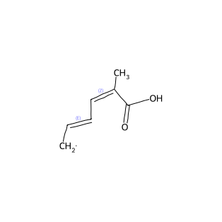 [CH2]/C=C/C=C(/C)C(=O)O